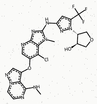 CNc1nccn2ncc(Oc3cnc4nc(Nc5cc(C(F)(F)F)n([C@@H]6COC[C@H]6O)n5)n(C)c4c3Cl)c12